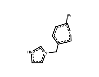 CC(C)c1ccc(C[n+]2cc[nH]c2)cc1